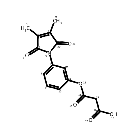 CC1=C(C)C(=O)N(c2cccc(OC(=O)CC(=O)O)c2)C1=O